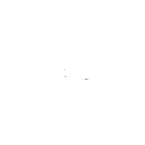 Cc1ccc(C2[C@H](C(=O)NCCc3ccccc3)c3ccccc3C(=O)N2[C@H]2CCCCC2N)c(C)c1